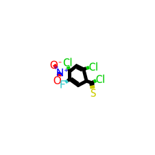 O=[N+]([O-])C1(Cl)C=C(Cl)C(C(=S)Cl)C=C1F